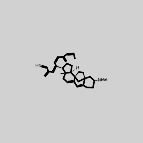 C=C(/C=C\C)/C=C\C(=C/C(=C)C=N)[C@H]1CC[C@H]2[C@@]34CC[C@]5(C[C@H](NC)CCC5=CC3=CC[C@]12C)C4